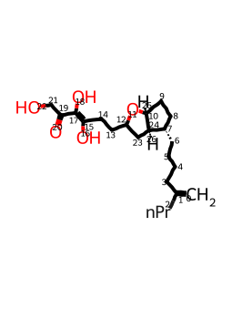 C=C(CCC)CCCC[C@H]1CC[C@@H]2OC(CCC(O)=C(O)C(=O)CO)C[C@H]12